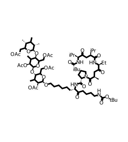 CC[C@H](NC(=O)[C@@H](CC(=O)[C@@H](NC(=O)[C@@H](C)CC)C(C)C)C(C)C)C(=O)C[C@@H](C)C(=O)N1CCC[C@H]1C(=O)N[C@@H](CCCCCCO[C@@H]1OC(COC(C)=O)[C@@H](O[C@@H]2OC(COC(C)=O)[C@H](O[C@H]3OC(COC(C)=O)[C@H](C)C(C)[C@@H]3C)C(C)[C@@H]2OC(C)=O)C(C)[C@@H]1OC(C)=O)C(=O)CCCCNC(=O)OC(C)(C)C